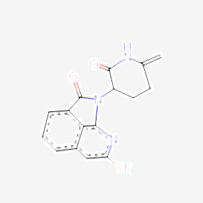 C=C1CCC(N2C(=O)c3cccc4cc(O)nc2c34)C(=O)N1